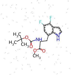 COC(=O)C(Cc1cc(F)c(F)c2cc[nH]c12)NC(=O)OC(C)(C)C